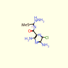 CS/C(=N\C(=O)c1nc(Cl)c(N)nc1N)NN